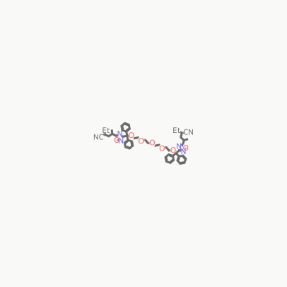 CCC(C#N)CC(C)c1nc(C(OCCOCCOCCOCCOC(c2ccccc2)(c2ccccc2)c2noc(C(C)CC(C#N)CC)n2)(c2ccccc2)c2ccccc2)no1